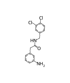 Nc1cccc(CC(=O)NCc2ccc(Cl)c(Cl)c2)c1